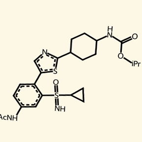 CC(=O)Nc1ccc(-c2cnc(C3CCC(NC(=O)OC(C)C)CC3)s2)c(S(=N)(=O)C2CC2)c1